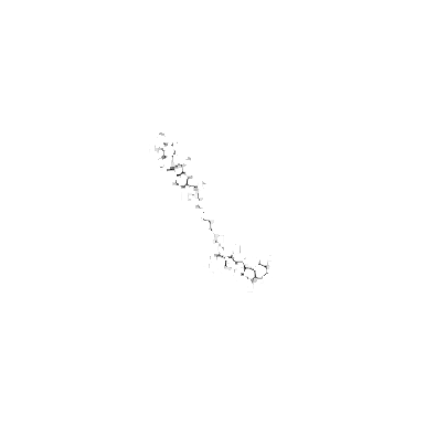 Cc1[nH]c(/C=C2\C(=O)Nc3ccc(F)cc32)c(C)c1C(=O)NCCCCCCCCNC(=O)c1ccc2c(c1)C(=O)N(C1CCC(=O)NC1=O)C2=O